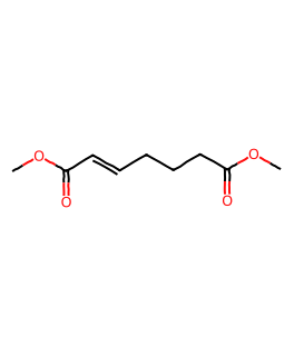 COC(=O)C=CCCCC(=O)OC